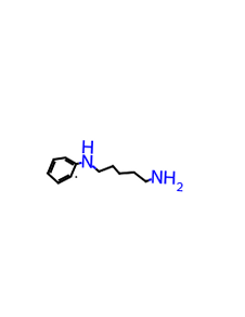 NCCCCCNc1[c]cccc1